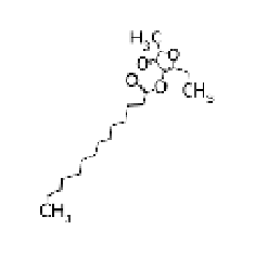 CCCCCCCCCCCCCC(=O)OC1=C(CC)OC(C)C1=O